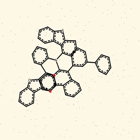 c1ccc(-c2cccc(-c3c(N(c4ccccc4-c4cccc5c4oc4ccccc45)c4cccc5sc6ccccc6c45)c4ccccc4c4ccccc34)c2)cc1